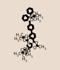 CC(=O)OC(c1ccc(-c2ccc(CO[Si](c3ccccc3)(c3ccccc3)C(C)(C)C)cc2)cc1)[C@@H]1C[C@@H](O[Si](C)(C)C(C)(C)C)CN1C(=O)OC(C)(C)C